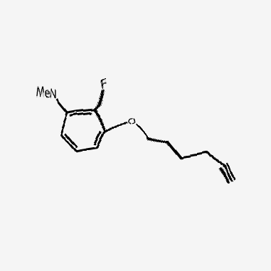 C#CCCCCOc1cccc(NC)c1F